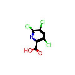 O=C(O)c1nc(Cl)c(Cl)cc1Cl